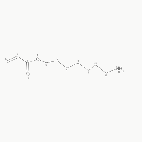 C=CC(=O)OCCCCCCCN